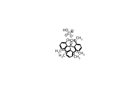 COc1cccc(OC)c1P(=O)(c1c(OC)cccc1OC)c1c(OC)cccc1OC.[O-][Cl+3]([O-])([O-])O